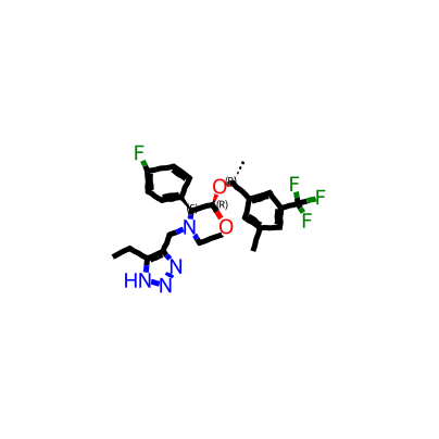 CCc1[nH]nnc1CN1CCO[C@H](O[C@H](C)c2cc(C)cc(C(F)(F)F)c2)[C@@H]1c1ccc(F)cc1